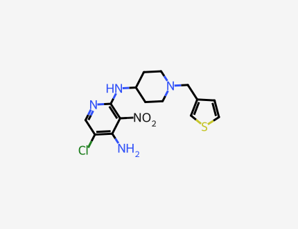 Nc1c(Cl)cnc(NC2CCN(Cc3ccsc3)CC2)c1[N+](=O)[O-]